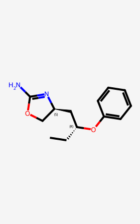 CC[C@H](C[C@H]1COC(N)=N1)Oc1ccccc1